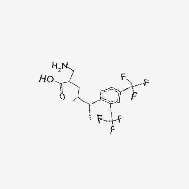 CC(CC(CN)C(=O)O)C(C)c1ccc(C(F)(F)F)cc1C(F)(F)F